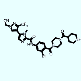 CCc1cc(NC(=O)c2ncc(-c3cn(CC#N)nc3C(F)(F)F)n2C)ccc1C(=O)N1CCN(C(=O)C2CCNCC2)CC1